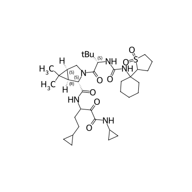 CC(C)(C)[C@H](NC(=O)NC1(C2CCCS2(=O)=O)CCCCC1)C(=O)N1C[C@H]2[C@@H]([C@H]1C(=O)NC(CCC1CC1)C(=O)C(=O)NC1CC1)C2(C)C